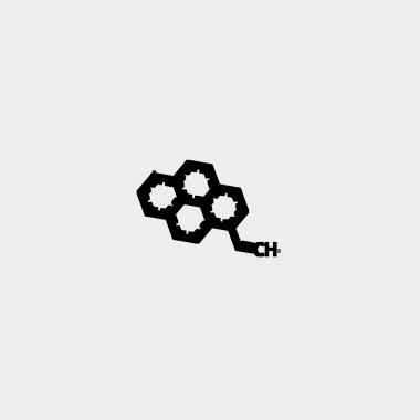 [CH]=Cc1ccc2ccc3[c]ccc4ccc1c2c34